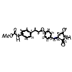 COC(=O)Nc1ccc(CCOc2ccc(/C=C3\SC(=O)NC3=O)cc2)cc1